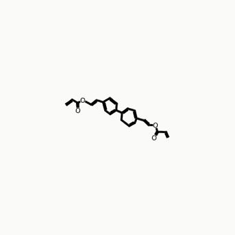 C=CC(=O)O/C=C/C1=CC=C(c2ccc(/C=C/OC(=O)C=C)cc2)CC=C1